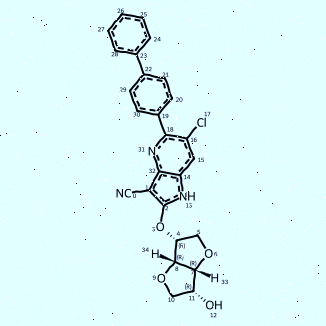 N#Cc1c(O[C@@H]2CO[C@H]3[C@@H]2OC[C@H]3O)[nH]c2cc(Cl)c(-c3ccc(-c4ccccc4)cc3)nc12